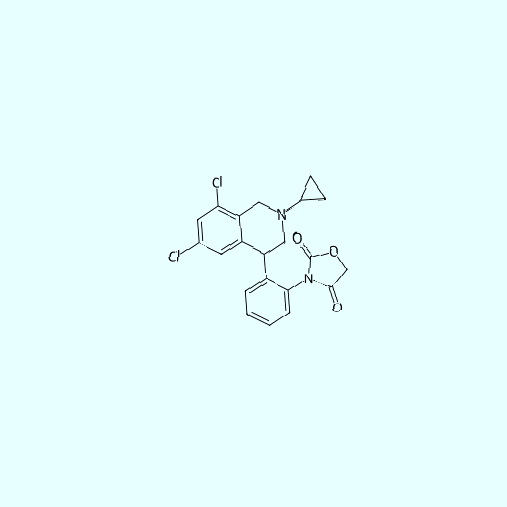 O=C1COC(=O)N1c1ccccc1C1CN(C2CC2)Cc2c(Cl)cc(Cl)cc21